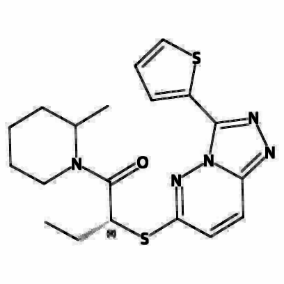 CC[C@@H](Sc1ccc2nnc(-c3cccs3)n2n1)C(=O)N1CCCCC1C